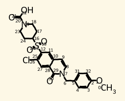 COc1ccc(Cn2ccc3cc(S(=O)(=O)C4CCN(C(=O)O)CC4)c(Cl)cc3c2=O)cc1